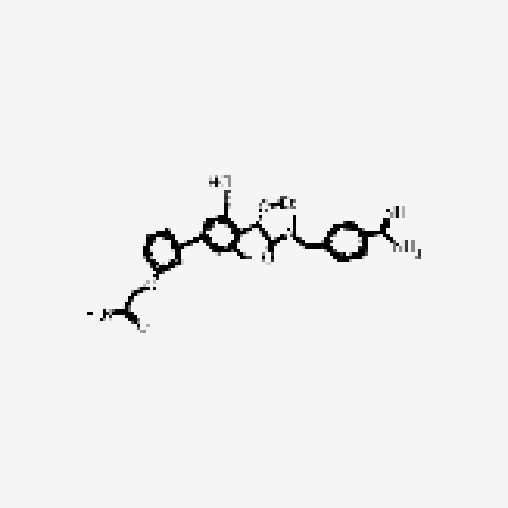 CCO[C@H](C(=O)NCc1ccc(C(=N)N)cc1)c1c(F)cc(-c2cccc(OCC(N)=O)c2)cc1F.Cl